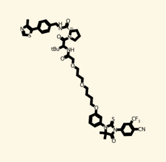 Cc1ncsc1-c1ccc(CNC(=O)[C@@H]2CCCN2C(=O)C(NC(=O)COCCCOCCCCOc2cccc(N3C(=S)N(c4ccc(C#N)c(C(F)(F)F)c4)C(=O)C3(C)C)c2)C(C)(C)C)cc1